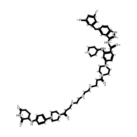 O=C1CCC(Nc2ccc(N3CCN(C(=O)CCOCCOCCOCCC(=O)N4CCN(c5ccc(C(=O)Nc6n[nH]c7ccc(Cc8cc(F)cc(F)c8)cc67)c(NC6CCOCC6)c5)CC4)CC3)cc2)C(=O)N1